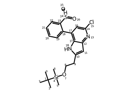 CC(C)(C)[Si](C)(C)OCCc1cc2nc(Cl)cc(-c3ccccc3[SH](=O)=O)c2[nH]1